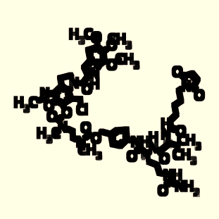 COc1cc2cc(C(=O)N3CCc4c3c(CCl)c(OC(=O)N(C)CCN(C)C(=O)OCc3ccc(NC(=O)[C@H](CCCNC(N)=O)NC(=O)[C@@H](NC(=O)CCCCCN5C(=O)C=CC5=O)C(C)C)cc3)c3oc(C)nc43)[nH]c2c(OC)c1OC